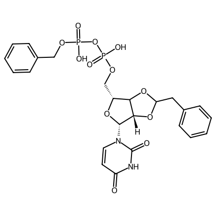 O=c1ccn([C@@H]2O[C@H](COP(=O)(O)OP(=O)(O)OCc3ccccc3)C3OC(Cc4ccccc4)O[C@@H]32)c(=O)[nH]1